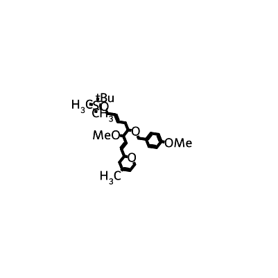 COc1ccc(COC(CC=CCO[Si](C)(C)C(C)(C)C)C(C=CC2CC(C)=CCO2)OC)cc1